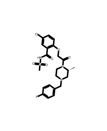 C[C@@H]1CN(Cc2ccc(F)cc2)CCN1C(=O)COc1ccc(Cl)cc1C(=O)NS(C)(=O)=O